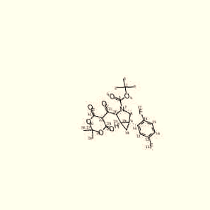 CC(C)(C)OC(=O)N1C[C@@]2(c3cc(F)ccc3F)C[C@H]2C1C(=O)C1C(=O)OC(C)(C)OC1=O